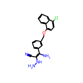 N#C/C(NN)=C(/N)c1cccc(COc2ccc(Cl)c3ccccc23)c1